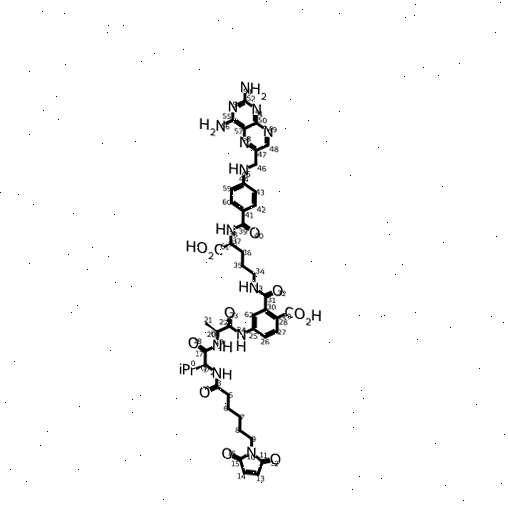 CC(C)[C@H](NC(=O)CCCCCN1C(=O)C=CC1=O)C(=O)N[C@@H](C)C(=O)Nc1ccc(C(=O)O)c(C(=O)NCCC[C@H](NC(=O)c2ccc(NCc3cnc4nc(N)nc(N)c4n3)cc2)C(=O)O)c1